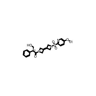 CCOc1ccc(S(=O)(=O)N2CC(=C3CN(C(=O)[C@H](CO)c4ccccc4)C3)C2)nc1